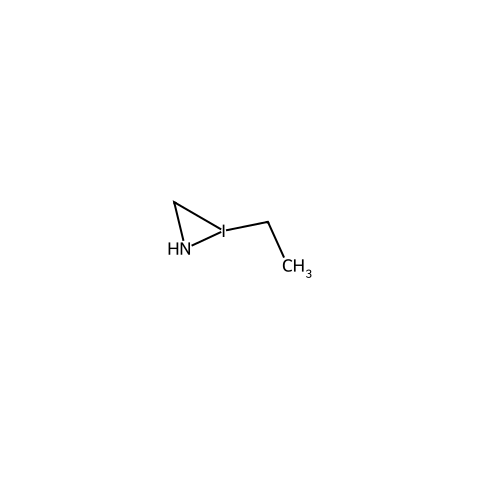 CCI1CN1